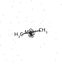 CCCCCCC[CH2][Mo+3](=[O])[CH2]CCCCCCC.[O-]P([O-])(=S)[S-]